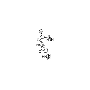 O=C1CC2(CCN(C(=O)c3cc(-c4nc[nH]n4)cc(N4CCCC4)c3)CC2)Oc2ccc(-c3nnn[nH]3)cc21.[NaH]